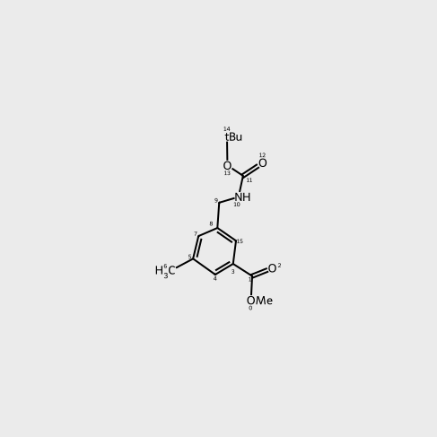 COC(=O)c1cc(C)cc(CNC(=O)OC(C)(C)C)c1